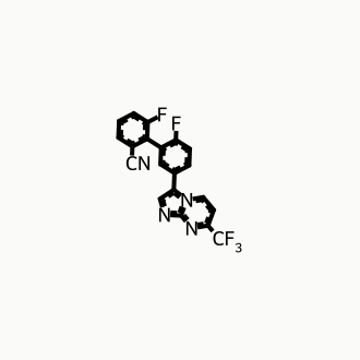 N#Cc1cccc(F)c1-c1cc(-c2cnc3nc(C(F)(F)F)ccn23)ccc1F